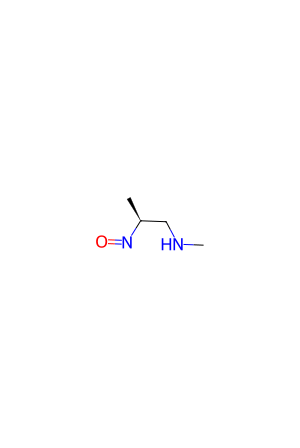 CNC[C@H](C)N=O